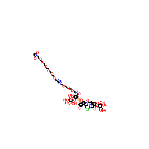 COc1ccc2c(OS(=O)(=O)Oc3cc(C(=O)N(C)CCOCCOCCOCCn4cc(CCOCCOCCOCCOCCOCCOCCN5C(=O)C=CC5=O)nn4)ccc3O[C@@H]3O[C@H](CO)[C@H](O)[C@H](O)C3O)cc3c(c2c1)[C@H](CCl)CN3C(=O)c1cc2ccc(OC3[C@H](O)[C@@H](O)[C@@H](O)[C@@H](CO)[C@H]3CO)c(C(C)=O)c2[nH]1